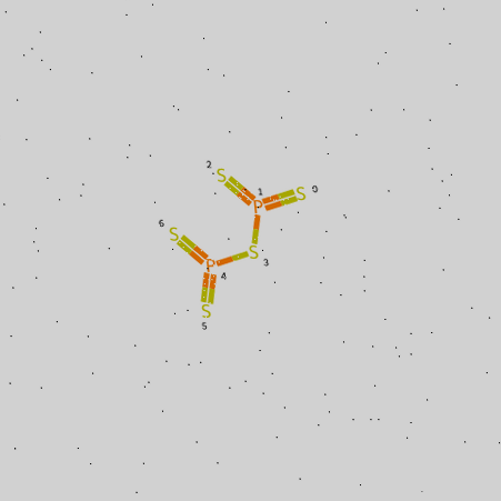 S=P(=S)SP(=S)=S